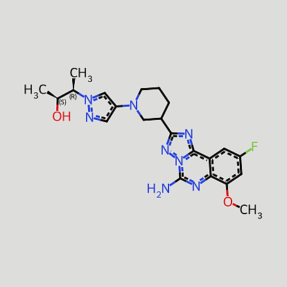 COc1cc(F)cc2c1nc(N)n1nc(C3CCCN(c4cnn([C@H](C)[C@H](C)O)c4)C3)nc21